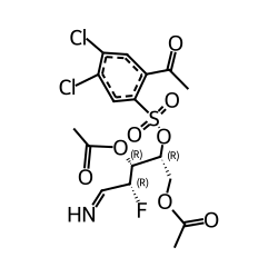 CC(=O)OC[C@@H](OS(=O)(=O)c1cc(Cl)c(Cl)cc1C(C)=O)[C@@H](OC(C)=O)[C@H](F)C=N